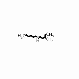 CCCCCCNCCC(C)CC